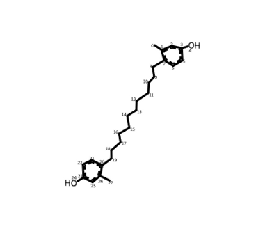 Cc1cc(O)ccc1CCCCCCCCCCCCc1ccc(O)cc1C